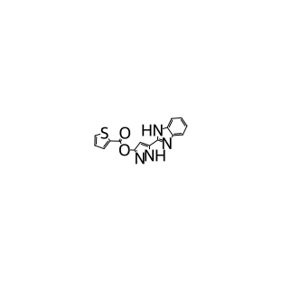 O=C(Oc1cc(-c2nc3ccccc3[nH]2)[nH]n1)c1cccs1